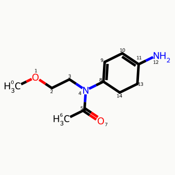 COCCN(C(C)=O)C1=CC=C(N)CC1